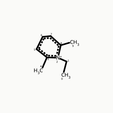 CC[n+]1c(C)cccc1C